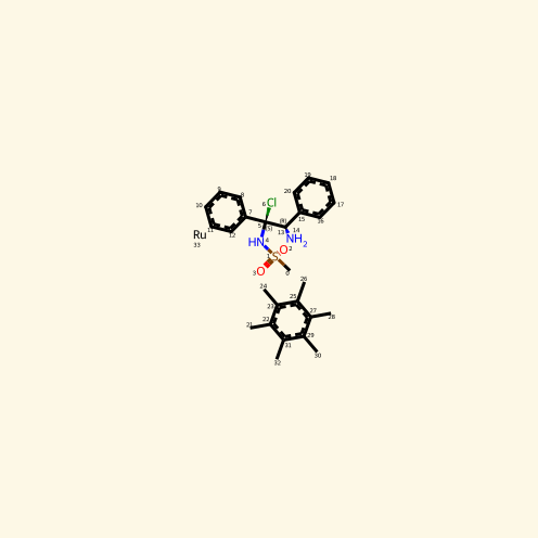 CS(=O)(=O)N[C@](Cl)(c1ccccc1)[C@H](N)c1ccccc1.Cc1c(C)c(C)c(C)c(C)c1C.[Ru]